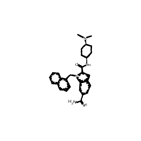 CN(C)[C@H]1CC[C@@H](NC(=O)c2cc3ccc(C(=N)N)cc3n2Cc2cccc3ccccc23)CC1